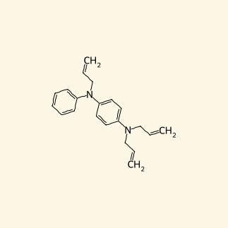 C=CCN(CC=C)c1ccc(N(CC=C)c2ccccc2)cc1